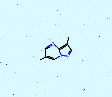 Cc1cnc2c(C)cnn2c1